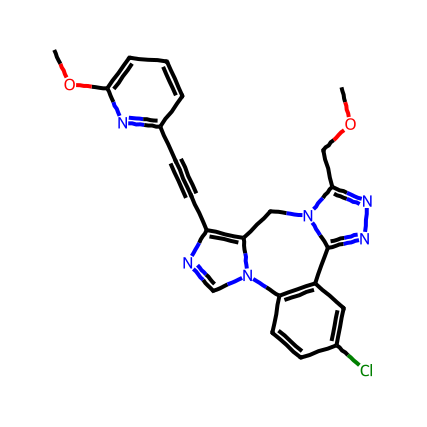 COCc1nnc2n1Cc1c(C#Cc3cccc(OC)n3)ncn1-c1ccc(Cl)cc1-2